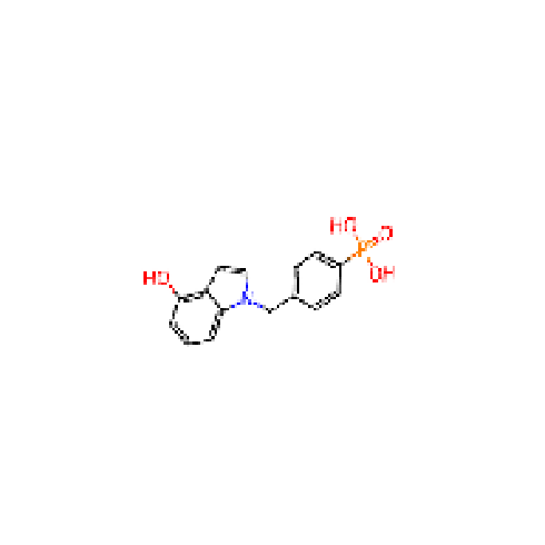 O=P(O)(O)c1ccc(Cn2ccc3c(O)cccc32)cc1